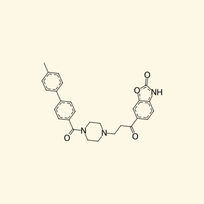 Cc1ccc(-c2ccc(C(=O)N3CCN(CCC(=O)c4ccc5[nH]c(=O)oc5c4)CC3)cc2)cc1